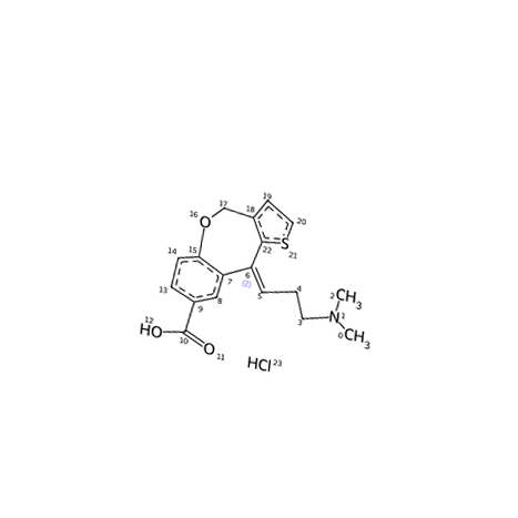 CN(C)CC/C=C1/c2cc(C(=O)O)ccc2OCc2ccsc21.Cl